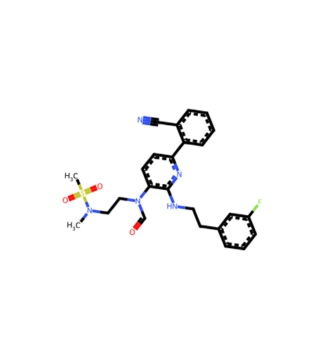 CN(CCN(C=O)c1ccc(-c2ccccc2C#N)nc1NCCc1cccc(F)c1)S(C)(=O)=O